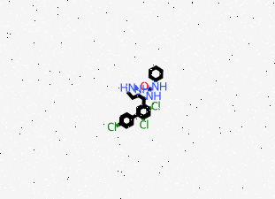 O=C(NC1CCCCC1)NC(c1cc(-c2ccc(Cl)cc2)c(Cl)cc1Cl)C1CCNN1